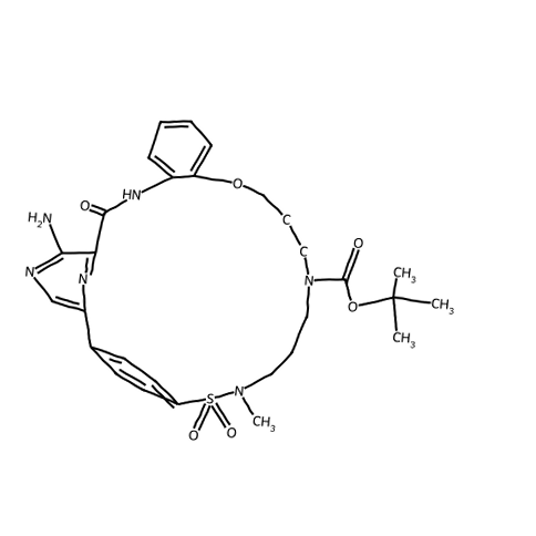 CN1CCCN(C(=O)OC(C)(C)C)CCCOc2ccccc2NC(=O)c2nc(cnc2N)-c2ccc(cc2)S1(=O)=O